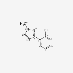 Cn1nnc(-c2c[c]ccc2F)n1